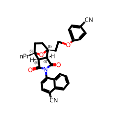 CCC[C@@]12CC[C@@](CCOc3ccc(C#N)cc3)(O1)[C@H]1C(=O)N(c3ccc(C#N)c4ccccc34)C(=O)[C@H]12